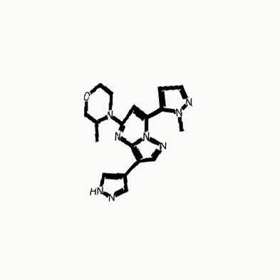 CC1COCCN1c1cc(-c2ccnn2C)n2ncc(-c3cn[nH]c3)c2n1